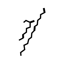 C=C(CC)CCCC=CC.C=CCCCCC=CCCCCCCCC